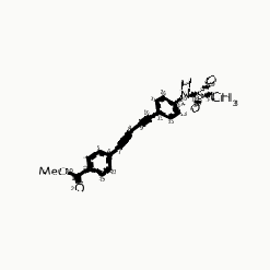 COC(=O)c1ccc(C#CC#Cc2ccc(NS(C)(=O)=O)cc2)cc1